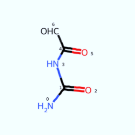 NC(=O)NC(=O)C=O